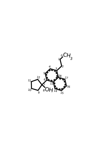 CCCc1ccc(C2(O)CCCC2)c2ccccc12